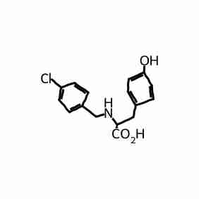 O=C(O)[C@H](Cc1ccc(O)cc1)NCc1ccc(Cl)cc1